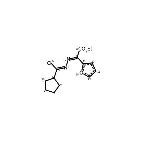 CCOC(=O)C(=NN=C(Cl)C1CCCC1)c1ccco1